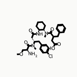 COC[C@H](N)C(=O)N(C)[C@H](CC(=O)N[C@H]1CCCC[C@@H]1N(C)C(=O)C(CC(=O)O)Cc1ccccc1)Cc1ccc(Cl)cc1